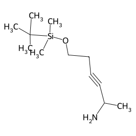 CC(N)C#CCCO[Si](C)(C)C(C)(C)C